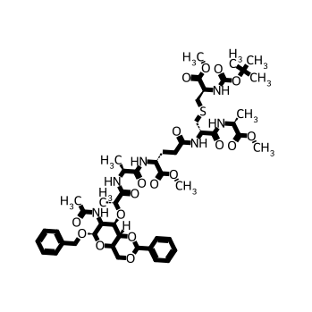 COC(=O)[C@H](CSC[C@@H](NC(=O)CC[C@@H](NC(=O)[C@H](C)NC(=O)[C@@H](C)O[C@@H]1C(NC(C)=O)[C@@H](OCc2ccccc2)OC2COC(c3ccccc3)O[C@H]21)C(=O)OC)C(=O)N[C@H](C)C(=O)OC)NC(=O)OC(C)(C)C